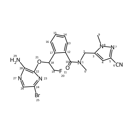 CN(Cc1cc(C#N)nn1C)C(=O)c1ccccc1C(CF)Oc1nc(Br)cnc1N